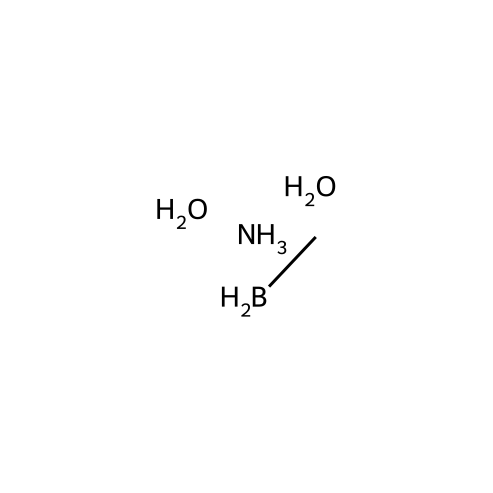 BC.N.O.O